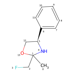 CC1(CF)N[C@H](c2ccccc2)CO1